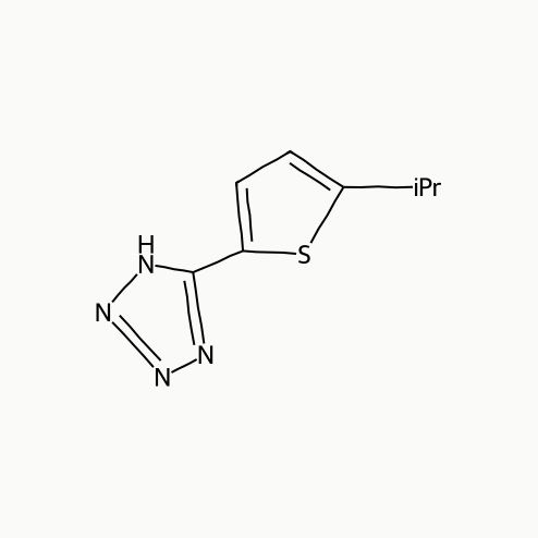 CC(C)c1ccc(-c2nnn[nH]2)s1